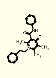 Cc1c(C)n(CCc2ccccc2)c(C)c(C(=O)Nc2ccccc2)c1=O